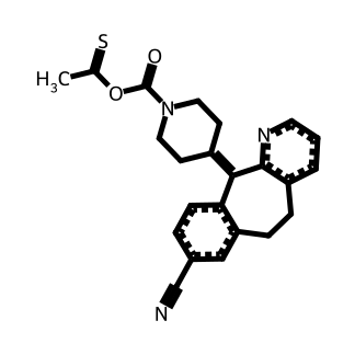 CC(=S)OC(=O)N1CCC(=C2c3ccc(C#N)cc3CCc3cccnc32)CC1